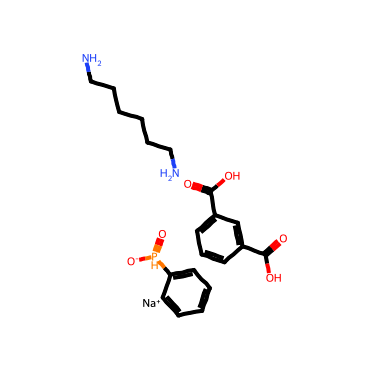 NCCCCCCN.O=C(O)c1cccc(C(=O)O)c1.O=[PH]([O-])c1ccccc1.[Na+]